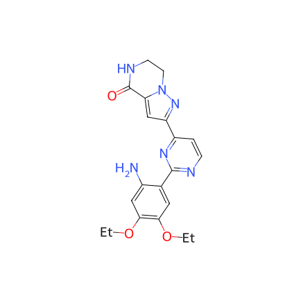 CCOc1cc(N)c(-c2nccc(-c3cc4n(n3)CCNC4=O)n2)cc1OCC